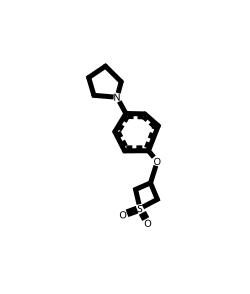 O=S1(=O)CC(Oc2ccc(N3CCCC3)cc2)C1